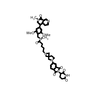 COc1cc(-c2cn(C)c(=O)c3cnccc23)cc(OC)c1CN(C)C(=O)CCCCN1CC2(CCN(c3ccc4c(c3)C(=O)N(C3CCC(=O)NC3=O)C4=O)C2)C1